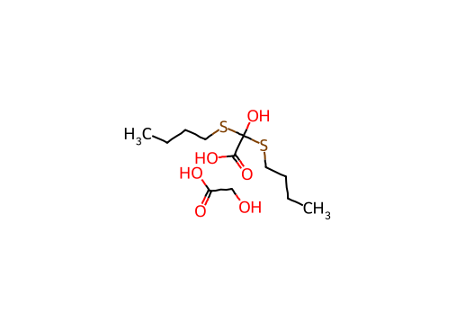 CCCCSC(O)(SCCCC)C(=O)O.O=C(O)CO